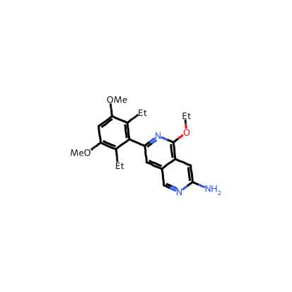 CCOc1nc(-c2c(CC)c(OC)cc(OC)c2CC)cc2cnc(N)cc12